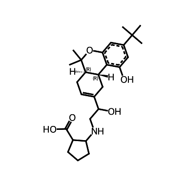 CC(C)(C)c1cc(O)c2c(c1)OC(C)(C)[C@@H]1CC=C(C(O)CNC3CCCC3C(=O)O)C[C@@H]21